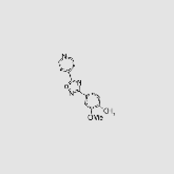 COc1cc(-c2noc(-c3ccncc3)n2)ccc1C